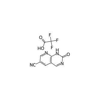 N#Cc1cnc2[nH]c(=O)ncc2c1.O=C(O)C(F)(F)F